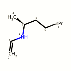 C=CN[C@@H](C)CCCCC